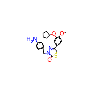 COc1ccc(C2=NN(Cc3ccc(N)cc3)C(=O)SC2)cc1OC1CCCC1